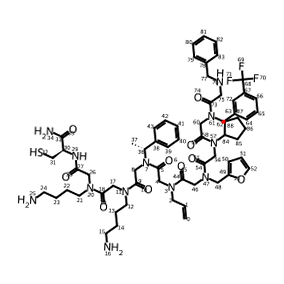 C=CCN(CC(=O)N(CC(=O)N(CCCCN)CC(=O)N(CCCCN)CC(=O)N[C@@H](CS)C(N)=O)[C@H](C)c1ccccc1)C(=O)CN(Cc1ccco1)C(=O)CN(C(=O)CN(Cc1cccc(C(F)(F)F)c1)C(=O)CNCc1ccccc1)C1CCCC1